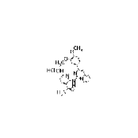 COc1ccc(-c2cc3nccn3c(Nc3ncccc3C(N)=O)n2)cc1OC.Cl.Cl